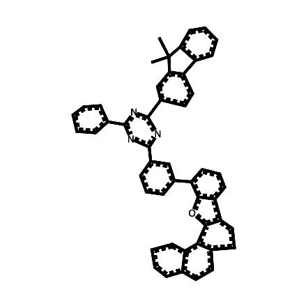 CC1(C)c2ccccc2-c2ccc(-c3nc(-c4ccccc4)nc(-c4cccc(-c5cccc6c5oc5c6ccc6ccc7ccccc7c65)c4)n3)cc21